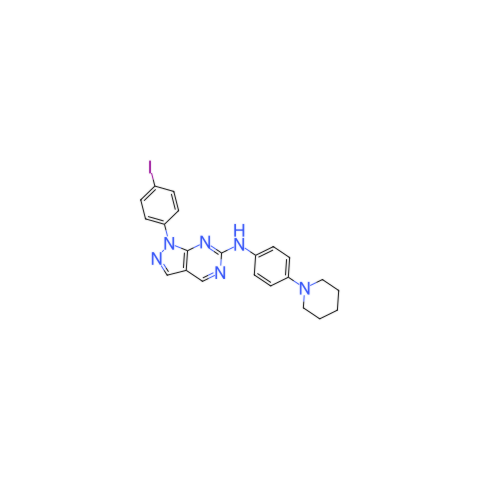 Ic1ccc(-n2ncc3cnc(Nc4ccc(N5CCCCC5)cc4)nc32)cc1